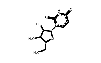 CC[C@@H]1O[C@H](n2ccc(=O)[nH]c2=O)C(O)C1C